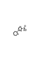 O=[SH](=O)c1ncn(-c2ccccn2)n1